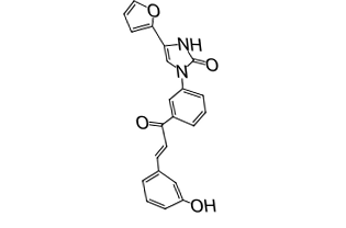 O=C(C=Cc1cccc(O)c1)c1cccc(-n2cc(-c3ccco3)[nH]c2=O)c1